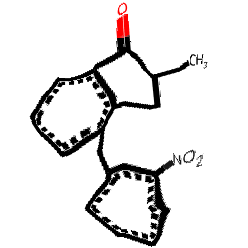 CC1Cc2c(cccc2-c2ccccc2[N+](=O)[O-])C1=O